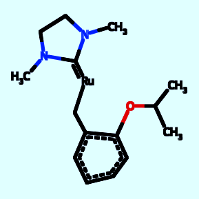 CC(C)Oc1ccccc1[CH2][Ru]=[C]1N(C)CCN1C